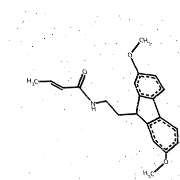 CC=CC(=O)NCCC1c2cc(OC)ccc2-c2ccc(OC)cc21